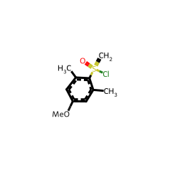 C=S(=O)(Cl)c1c(C)cc(OC)cc1C